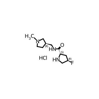 CN1CC[C@H](CNC(=O)[C@@H]2C[C@@H](F)CN2)C1.Cl